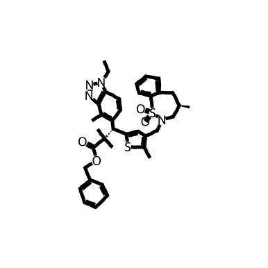 CCn1nnc2c(C)c([C@H](c3cc(CN4C[C@H](C)Cc5ccccc5S4(=O)=O)c(C)s3)C(C)(C)C(=O)OCc3ccccc3)ccc21